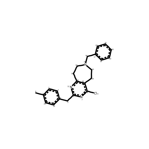 Cc1ccc(Cc2nc(Cl)c3c(n2)CCN(Cc2ccccc2)CC3)cc1